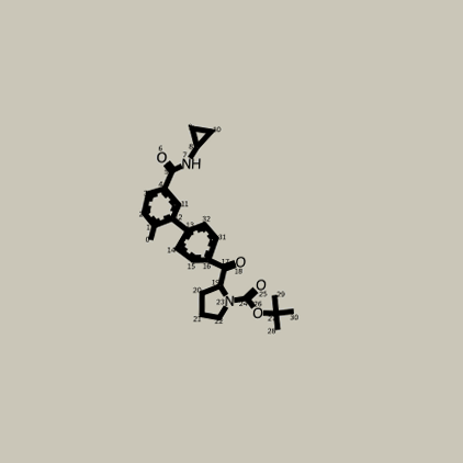 Cc1ccc(C(=O)NC2CC2)cc1-c1ccc(C(=O)C2CCCN2C(=O)OC(C)(C)C)cc1